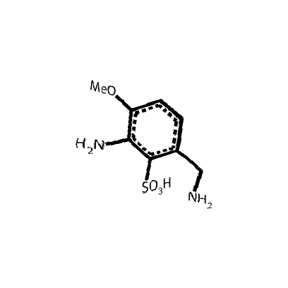 COc1ccc(CN)c(S(=O)(=O)O)c1N